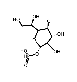 O=[PH](O)O[C@@H]1OC([C@H](O)CO)[C@@H](O)[C@H](O)C1O